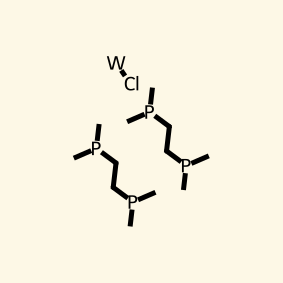 CP(C)CCP(C)C.CP(C)CCP(C)C.[Cl][W]